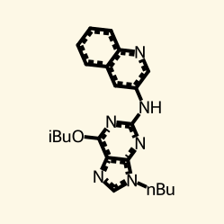 CCCCn1cnc2c(OCC(C)C)nc(Nc3cnc4ccccc4c3)nc21